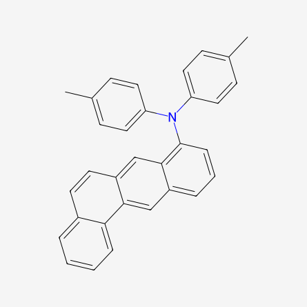 Cc1ccc(N(c2ccc(C)cc2)c2cccc3cc4c(ccc5ccccc54)cc23)cc1